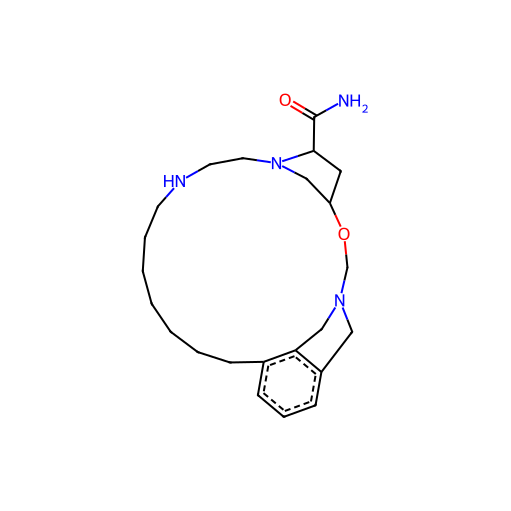 NC(=O)C1CC2CN1CCNCCCCCCCc1cccc3c1CN(CO2)C3